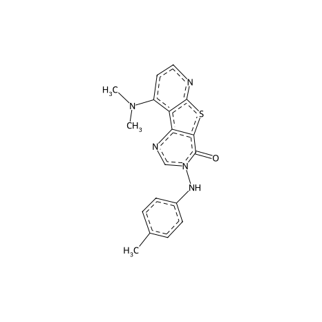 Cc1ccc(Nn2cnc3c(sc4nccc(N(C)C)c43)c2=O)cc1